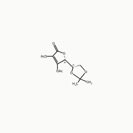 CC(=O)OC1=C(OC(C)=O)[C@@H]([C@@H]2COC(C)(C)O2)OC1=O